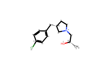 C[C@H](O)CN1CC[C@@H](Cc2ccc(Cl)cc2)C1